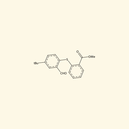 COC(=O)c1ccccc1Sc1ccc(C(C)(C)C)cc1C=O